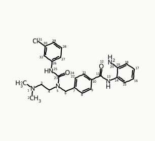 CN(C)CCN(Cc1ccc(C(=O)Nc2ccccc2N)cc1)C(=O)Nc1cccc(Cl)c1